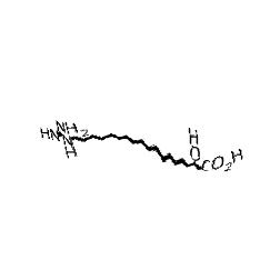 N=C(N)NCCCCCCCCCCCCCCCCC(O)CC(=O)O